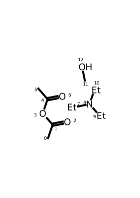 CC(=O)OC(C)=O.CCN(CC)CC.CO